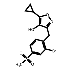 CS(=O)(=O)c1ccc(Cc2noc(C3CC3)c2O)c(Br)c1